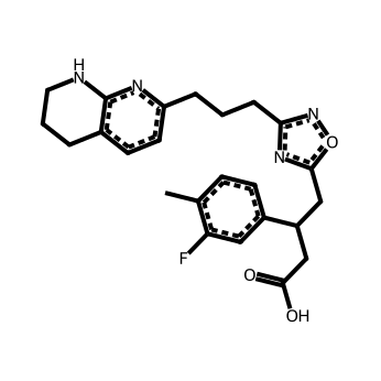 Cc1ccc(C(CC(=O)O)Cc2nc(CCCc3ccc4c(n3)NCCC4)no2)cc1F